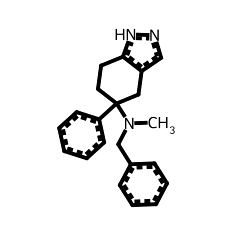 CN(Cc1ccccc1)C1(c2ccccc2)CCc2[nH]ncc2C1